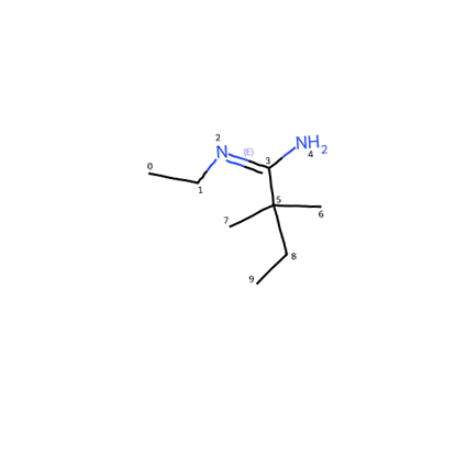 CC/N=C(/N)C(C)(C)CC